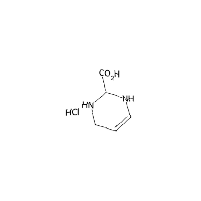 Cl.O=C(O)C1NC=CCN1